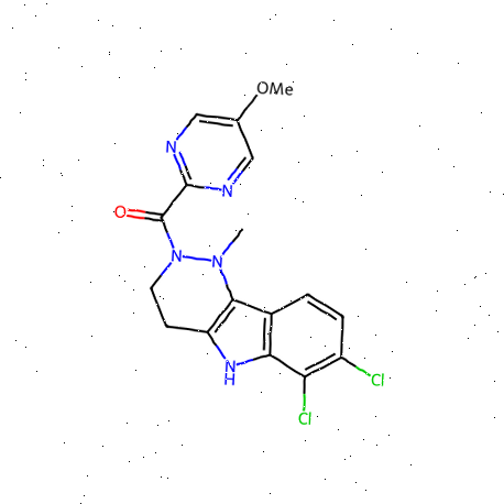 COc1cnc(C(=O)N2CCc3[nH]c4c(Cl)c(Cl)ccc4c3N2C)nc1